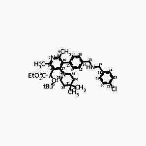 CCOC(=O)[C@@H](OC(C)(C)C)c1c(C)nc(C)c(-c2ccc(CNCc3ccc(Cl)cc3)cc2)c1N1CCC(C)(C)CC1